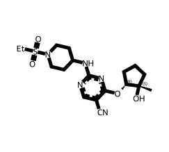 CCS(=O)(=O)N1CCC(Nc2ncc(C#N)c(O[C@@H]3CCC[C@]3(C)O)n2)CC1